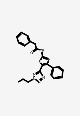 CCCn1nnc(-c2sc(NC(=O)Cc3ccccc3)nc2-c2ccccc2)n1